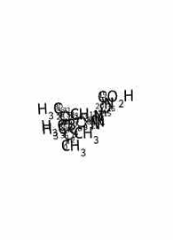 Cc1cc(C)c(B(c2ccc(-c3cn(-c4ccnc(C(=O)O)c4)nn3)cc2)c2c(C)cc(C)cc2C)c(C)c1